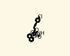 O=C1NC(=O)C(CCCC#Cc2ccc(Cl)cc2)(S(=O)(=O)c2cccc3ccccc23)S1